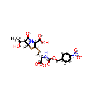 CC(O)[C@H]1C(=O)N2C(C(=O)O)=C(SC[C@H](NC(=O)OCc3ccc([N+](=O)[O-])cc3)C(=O)O)S[C@H]12